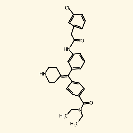 CCN(CC)C(=O)c1ccc(C(=C2CCNCC2)c2cccc(NC(=O)Cc3cccc(Cl)c3)c2)cc1